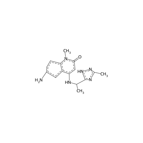 Cc1n[nH]c(C(C)Nc2cc(=O)n(C)c3ccc(N)cc23)n1